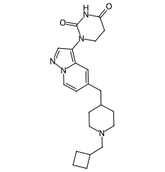 O=C1CCN(c2cnn3ccc(CC4CCN(CC5CCC5)CC4)cc23)C(=O)N1